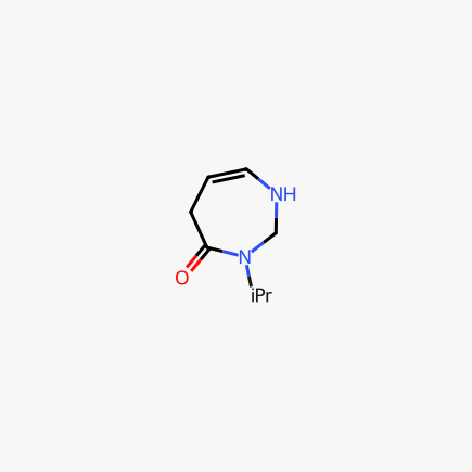 CC(C)N1CNC=CCC1=O